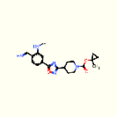 CC(C)Nc1cc(-c2nc(C3CCN(C(=O)OC4(C)CC4)CC3)no2)ccc1C=N